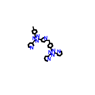 Cc1ccc(-c2nc(-c3cccnc3)nc(-c3ccc(Cc4ccc(-c5nc(-c6ccccn6)nc(-c6ccccn6)n5)cc4)nc3)n2)cc1